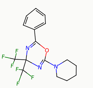 FC(F)(F)C1(C(F)(F)F)N=C(c2ccccc2)OC(N2CCCCC2)=N1